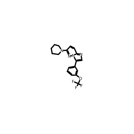 FC(F)(F)Oc1cccc(-c2cnc3ccc(N4CCCCC4)nn23)c1